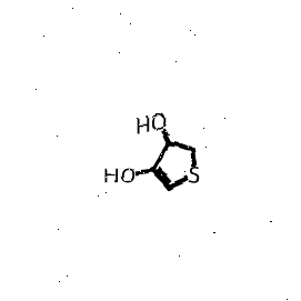 OC1=CSCC1O